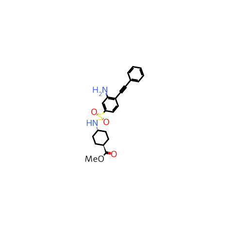 COC(=O)[C@H]1CC[C@H](NS(=O)(=O)c2ccc(C#Cc3ccccc3)c(N)c2)CC1